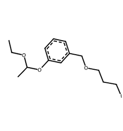 CCOC(C)Oc1cccc(COCCCI)c1